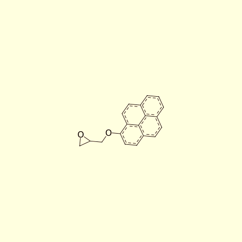 c1cc2ccc3ccc(OCC4CO4)c4ccc(c1)c2c34